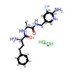 C[C@H](NC(=O)[C@H](N)CCc1ccccc1)C(=O)NCc1cnc(N)c(F)c1.Cl.Cl